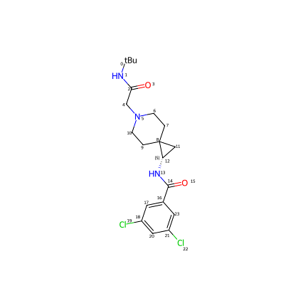 CC(C)(C)NC(=O)CN1CCC2(CC1)C[C@@H]2NC(=O)c1cc(Cl)cc(Cl)c1